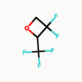 FC(F)(F)C1OCC1(F)F